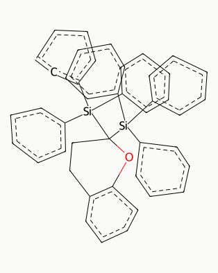 c1ccc([Si](c2ccccc2)(c2ccccc2)C2([Si](c3ccccc3)(c3ccccc3)c3ccccc3)CCc3ccccc3O2)cc1